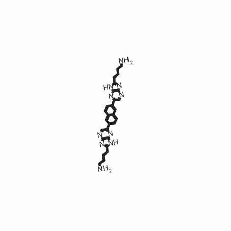 NCCCCc1nc2ncc(-c3ccc4cc(-c5cnc6nc(CCCCN)[nH]c6n5)ccc4c3)nc2[nH]1